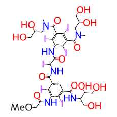 COCC(=O)Nc1c(I)c(C(=O)NC(I)C(=O)Nc2c(I)c(C(=O)N(C)CC(O)CO)c(I)c(C(=O)N(C)CC(O)CO)c2I)cc(C(=O)NC(CO)C(O)CO)c1I